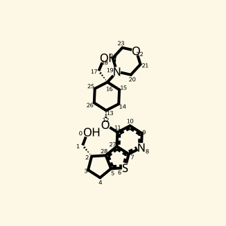 OC[C@H]1CCc2sc3nccc(O[C@H]4CC[C@](CO)(N5CCOCC5)CC4)c3c21